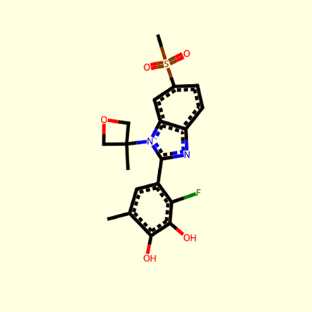 Cc1cc(-c2nc3ccc(S(C)(=O)=O)cc3n2C2(C)COC2)c(F)c(O)c1O